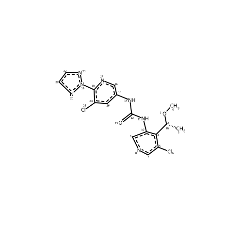 CO[C@H](C)c1c(Cl)cncc1NC(=O)Nc1cnc(-n2nccn2)c(Cl)c1